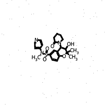 CN(c1ccncc1)S(=O)(=O)c1ccc2c(c1)C(N1CCCCC1=O)C(O)C(C)(C)O2